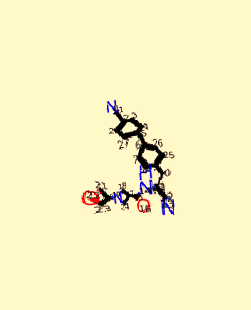 N#Cc1ccc(-c2ccc(C[C@@H](C#N)NC(=O)C3CN(C4COC4)C3)cc2)cc1